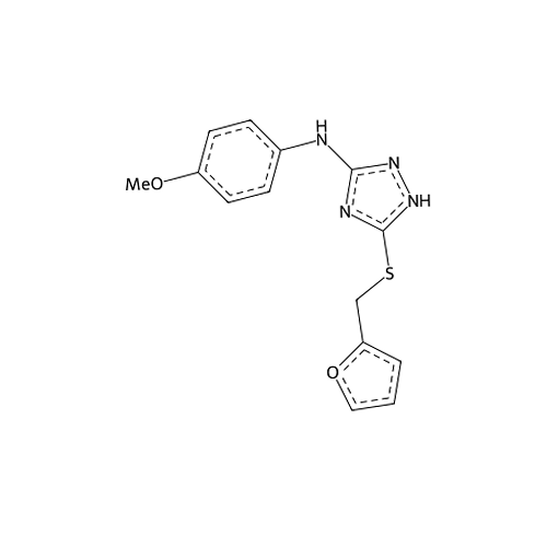 COc1ccc(Nc2n[nH]c(SCc3ccco3)n2)cc1